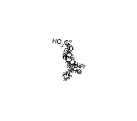 CC(C)C1=C2[C@H]3CCC4[C@@]5(C)CC[C@H](OC(=O)CC(C)(C)C(=O)O)C(C)(C)[C@@H]5CC[C@@]4(C)[C@]3(C)CC[C@@]2(CCN2CCCCC2)CC1=O